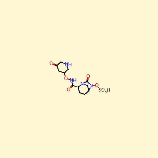 O=C1CNCC(ONC(=O)[C@@H]2CCC3CN2C(=O)N3OS(=O)(=O)O)C1